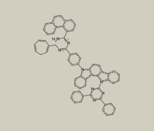 N/C(=N\C(=N/CC1=CCC=CC=C1)c1ccc(-n2c3ccccc3c3c2ccc2c4ccccc4n(-c4nc(-c5ccccc5)nc(-c5ccccc5)n4)c23)cc1)c1cccc2ccc3ccccc3c12